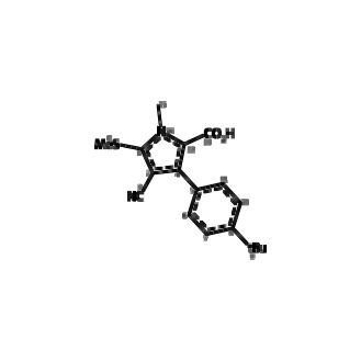 CSc1c(C#N)c(-c2ccc(C(C)(C)C)cc2)c(C(=O)O)n1C